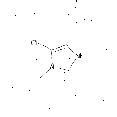 CN1CN[C]=C1Cl